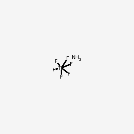 N.[F][Ti]([F])([F])([F])([F])[F]